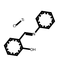 Oc1ccccc1C=Nc1ccccc1.[Cl][Ti]